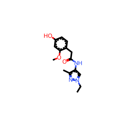 CCn1cc(NC(=O)Cc2ccc(O)cc2OC)c(C)n1